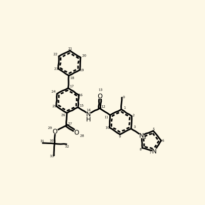 Cc1cc(-n2ccnc2)ccc1C(=O)Nc1cc(-c2ccccc2)ccc1C(=O)OC(C)(C)C